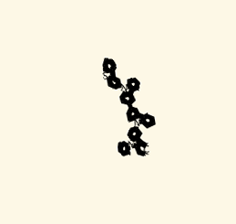 c1ccc(-n2c3ccccc3c3cc(-n4c5ccccc5c5cc(-c6ccc7c(c6)c6ccccc6n7-c6ccc7sc8ccccc8c7c6)ccc54)ccc32)cc1